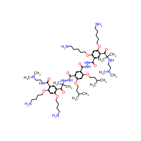 CC(C)CCOc1cc(OCCC(C)C)c(C(=O)NNC(C)(C)C(=O)c2cc(C(=O)NCCN(C)C)c(OCCCCN)cc2OCCCCN)cc1C(=O)NNC(=O)c1cc(C(=O)C(C)(C)NCCN(C)C)c(OCCCCCN)cc1OCCCCCN